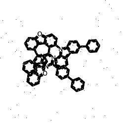 c1ccc(-c2ccc(-c3nc(-c4ccccc4)nc(-c4c(-n5c6ccccc6c6cc(-c7ccccc7)ccc65)ccc5oc6cccc(-c7ccc8oc9ccccc9c8c7)c6c45)n3)cc2)cc1